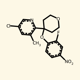 Cc1cc(Cl)cnc1C1(Oc2ccc([N+](=O)[O-])cc2F)CCOCC1